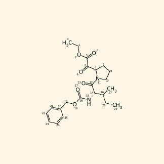 CCOC(=O)C(=O)C1CCCN1C(=O)[C@@H](NC(=O)OCc1ccccc1)C(C)CC